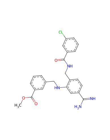 COC(=O)c1cccc(CNc2cc(C(=N)N)ccc2CNC(=O)c2cccc(Cl)c2)c1